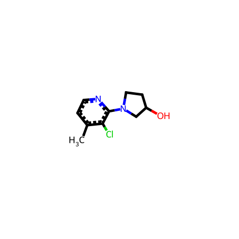 Cc1ccnc(N2CCC(O)C2)c1Cl